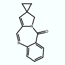 O=C1c2ccccc2N=CC2=CC3(CC3)CN12